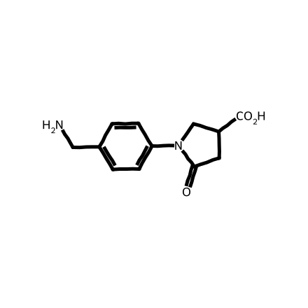 NCc1ccc(N2CC(C(=O)O)CC2=O)cc1